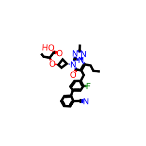 CCCc1c(Cc2ccc(-c3ccccc3C#N)cc2F)c(=O)n([C@H]2C[C@H](OC(CC)C(=O)O)C2)c2nc(C)nn12